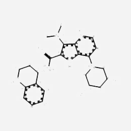 C[C@@H]1C[C@H](C)CN(c2ccnc3c(N(C)C)c(C(=O)N[C@H]4CCOc5ccccc54)sc23)C1